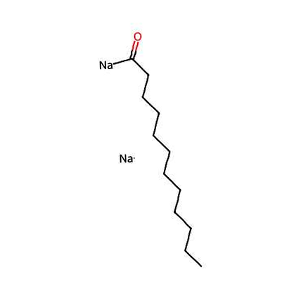 CCCCCCCCCCC[C](=O)[Na].[Na]